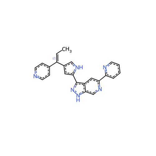 C/C=C(/c1ccncc1)c1c[nH]c(-c2n[nH]c3cnc(-c4ccccn4)cc23)c1